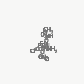 CCOC(=O)[C@@H]1CC2(CCN(c3cc(O[C@H](c4ccc(Cl)cc4-c4cccc(C(=O)N5CCOCC5)c4)C(F)(F)F)nc(N)n3)CC2)CN1